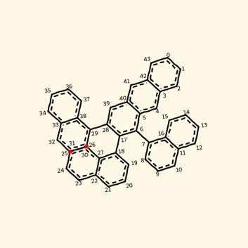 c1ccc2cc3c(-c4cccc5ccccc45)c(-c4cccc5ccccc45)c(-c4cccc5ccccc45)cc3cc2c1